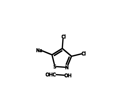 O=CO.[Na][c]1snc(Cl)c1Cl